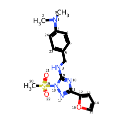 CN(C)c1ccc(CNc2nc(-c3ccco3)nn2S(C)(=O)=O)cc1